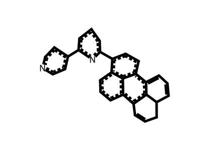 C1=CC2CC=Cc3c2c(c2ccc(-c4cccc(-c5ccncc5)n4)c4cccc3c42)=C1